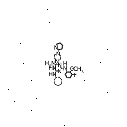 COc1c(F)cccc1NC1=NC(N)(N2CCN(c3ccccn3)CC2)NC(NC2CCCCCC2)=N1